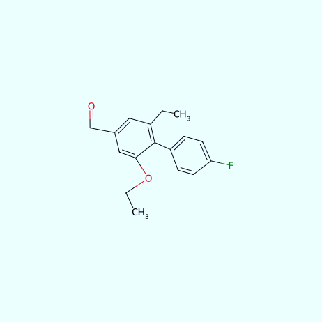 CCOc1cc(C=O)cc(CC)c1-c1ccc(F)cc1